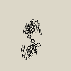 COC(=O)NC(C(=O)N1CCC[C@H]1c1[nH]c(-c2ccc(-c3ccc(-c4cnc([C@@H]5CCCN5C(=O)[C@@H](NC(=O)OC)[C@@H](C)OC)[nH]4)cc3)cc2)c2c1CCCC2)C(C)C